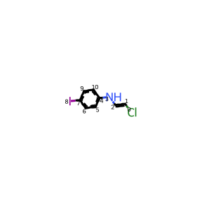 ClC=CNc1ccc(I)cc1